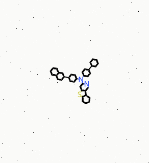 c1ccc(-c2ccc(N(c3ccc(-c4ccc5ccccc5c4)cc3)c3cc4sc5ccccc5c4cn3)cc2)cc1